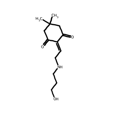 CC1(C)CC(=O)C(=CCNCCCO)C(=O)C1